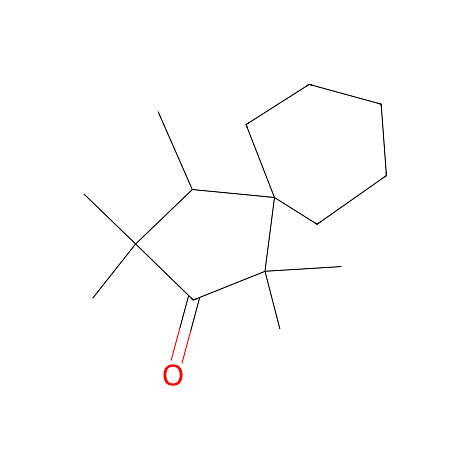 CC1C(C)(C)C(=O)C(C)(C)C12CCCCC2